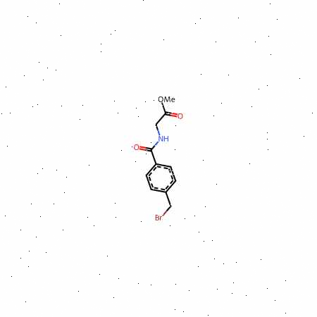 COC(=O)CNC(=O)c1ccc(CBr)cc1